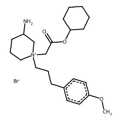 COc1ccc(CCC[N+]2(CC(=O)OC3CCCCC3)CCCC(N)C2)cc1.[Br-]